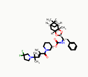 CC1(C)[C@@H]2C[C@H]3OB([C@H](Cc4ccccc4)NC(=O)O[C@H]4CCCN(C(=O)/C(C#N)=C/C(C)(C)N5CCC(F)(F)C5)C4)O[C@@]3(C)[C@H]1C2